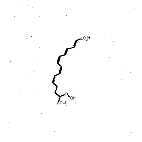 CCCCCCCCC(CC\C=C/C=C\C=C/C=C/C=CC(=O)O)OO